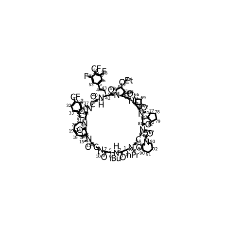 CCC[C@H]1C(=O)N[C@@H]([C@@H](C)CC)C(=O)N(C)CC(=O)N(C)[C@H]2C/C=C\CCN(C2=O)[C@@H](Cc2ccc(C(F)(F)F)cc2)C(=O)N(C)CC(=O)N[C@@H](CCc2cc(F)c(C(F)(F)F)c(F)c2)C(=O)N2C[C@H](OCC)C[C@H]2C(=O)N(C)C2(CCC2)C(=O)N(C)[C@@H](C2CCCC2)C(=O)N(C)[C@H](C(=O)N2CCCCC2)CC(=O)N1C